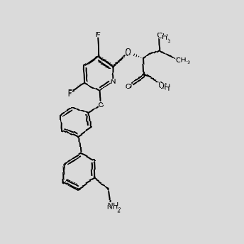 CC(C)[C@@H](Oc1nc(Oc2cccc(-c3cccc(CN)c3)c2)c(F)cc1F)C(=O)O